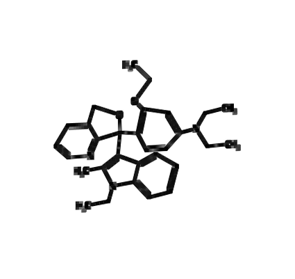 CCOc1cc(N(CC)CC)ccc1C1(c2c(C)n(CC)c3ccccc23)OCc2cccnc21